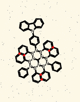 c1ccc(B2N(c3ccccc3)B(c3ccccc3)N3B(c4ccccc4)N(c4ccc(-n5c6ccccc6c6ccccc65)cc4)B(c4ccccc4)N4B(c5ccccc5)N(c5ccccc5)B(c5ccccc5)N2C34)cc1